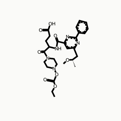 CCOC(=O)ON1CCN(C(=O)C(CCC(=O)O)NC(=O)c2cc(C[C@H](C)OC)nc(-c3ccccc3)n2)CC1